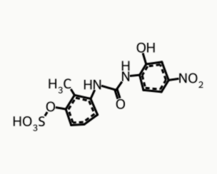 Cc1c(NC(=O)Nc2ccc([N+](=O)[O-])cc2O)cccc1OS(=O)(=O)O